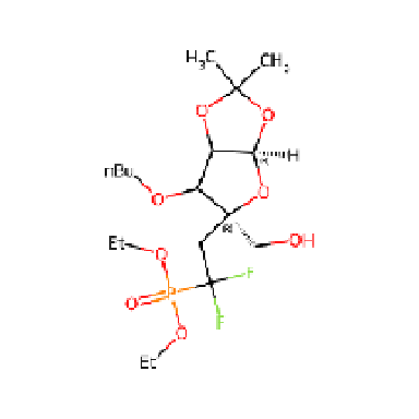 CCCCOC1C2OC(C)(C)O[C@H]2O[C@@]1(CO)CC(F)(F)P(=O)(OCC)OCC